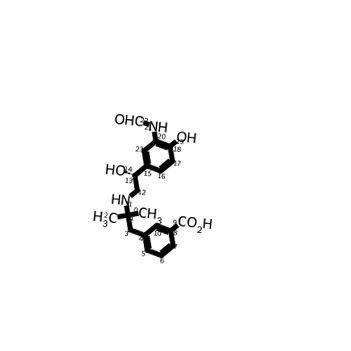 CC(C)(Cc1cccc(C(=O)O)c1)NC[C@H](O)c1ccc(O)c(NC=O)c1